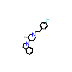 C[C@H]1CN(CCc2ccc(F)cc2)CC[C@H]1N1CCc2ccccc21